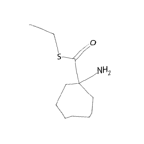 CCSC(=O)C1(N)CCCCC1